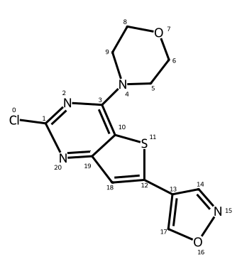 Clc1nc(N2CCOCC2)c2sc(-c3cnoc3)cc2n1